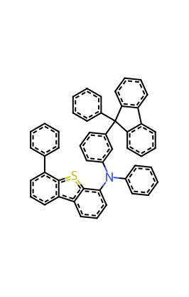 c1ccc(-c2cccc3c2sc2c(N(c4ccccc4)c4cccc(C5(c6ccccc6)c6ccccc6-c6ccccc65)c4)cccc23)cc1